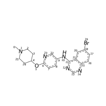 CN1CCC(Oc2ccc(Nc3ncnc4ccc(Br)cc34)cn2)CC1